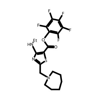 CCNc1nc(CN2CCCCCC2)sc1C(=O)Oc1c(F)c(F)c(F)c(F)c1F